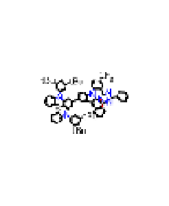 CC(C)(C)c1cc(N2c3ccccc3B3c4ccccc4N(c4cc(C(C)(C)C)cc(C(C)(C)C)c4)c4cc(-c5ccc6c(c5)c5ccccc5n6-c5ccc(C(F)(F)F)cc5-c5nc(-c6ccccc6)nc(-c6ccccc6)n5)cc2c43)cc(C(C)(C)C)c1